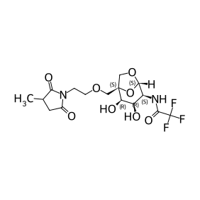 CC1CC(=O)N(CCOC[C@@]23CO[C@@H](O2)[C@@H](NC(=O)C(F)(F)F)[C@@H](O)[C@H]3O)C1=O